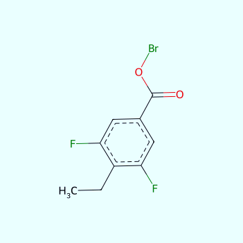 CCc1c(F)cc(C(=O)OBr)cc1F